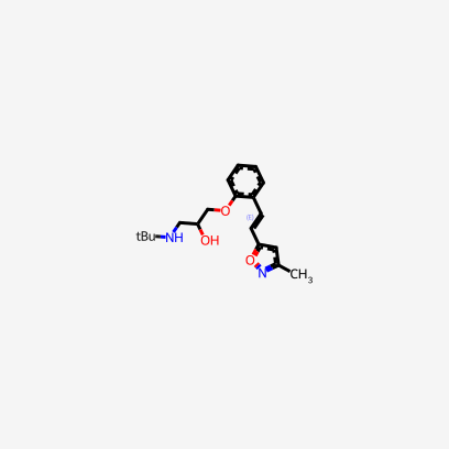 Cc1cc(/C=C/c2ccccc2OCC(O)CNC(C)(C)C)on1